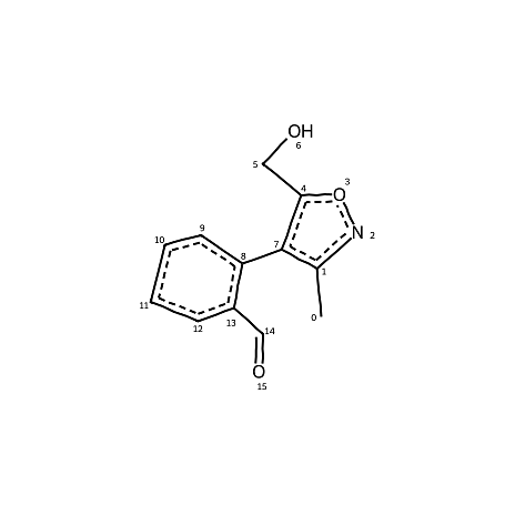 Cc1noc(CO)c1-c1ccccc1C=O